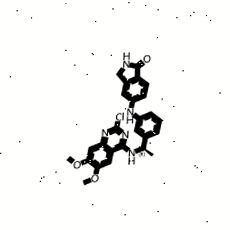 COc1cc2nc(Cl)nc(N[C@H](C)c3cccc(Nc4ccc5c(c4)CNC5=O)c3)c2cc1OC